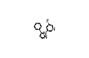 Fc1cncc(-n2nccc2-c2ccccc2)c1